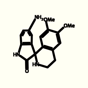 COc1cc2c(cc1OC)C1(NCC2)C(=O)Nc2ccc(N)cc21